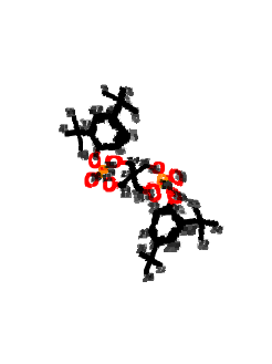 CC(C)(C)c1ccc(OP2(=O)OCC3(CO2)COP(=O)(Oc2ccc(C(C)(C)C)cc2C(C)(C)C)OC3)c(C(C)(C)C)c1